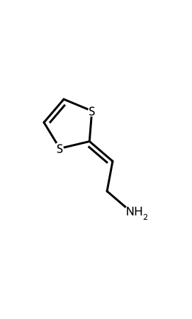 NCC=C1SC=CS1